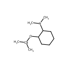 CN(C)C1CCCCC1[O][Ga]([CH3])[CH3]